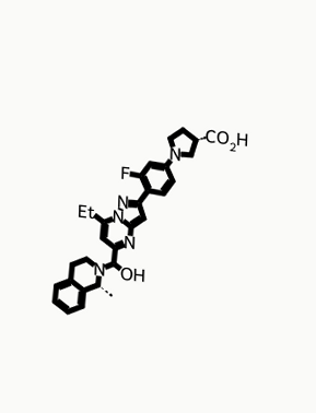 CCc1cc(C(O)N2CCc3ccccc3[C@H]2C)nc2cc(-c3ccc(N4CC[C@H](C(=O)O)C4)cc3F)nn12